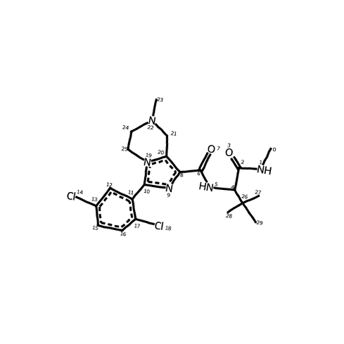 CNC(=O)C(NC(=O)c1nc(-c2cc(Cl)ccc2Cl)n2c1CN(C)CC2)C(C)(C)C